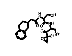 CCC1(C(=O)C(CC(C)C)NC(=O)C(CO)NC(=O)CC2CCc3ccccc3C2)CO1